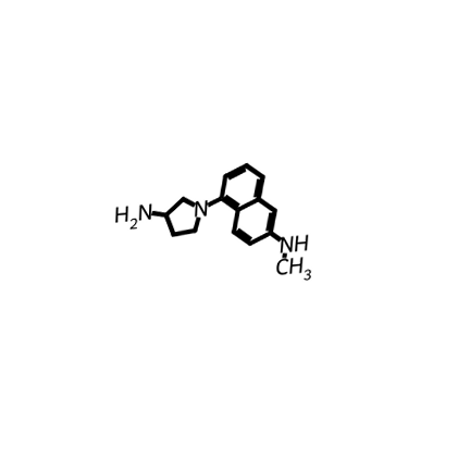 CNc1ccc2c(N3CCC(N)C3)cccc2c1